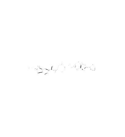 Cn1cc2ccc(C(=O)N[C@H]3CC[C@H](CCN4CCc5sc(C6CCCO6)nc5C4)CC3)cc2n1